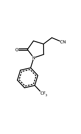 N#CCC1CC(=O)N(c2cccc(C(F)(F)F)c2)C1